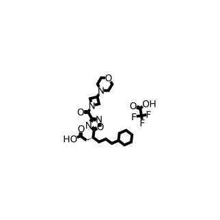 O=C(O)C(F)(F)F.O=C(O)C[C@@H](CCCC1CCCCC1)c1nc(C(=O)N2CC(N3CCOCC3)C2)no1